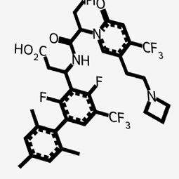 Cc1cc(C)c(-c2cc(C(F)(F)F)c(F)c(C(CC(=O)O)NC(=O)C(CC(C)C)n3cc(CCN4CCC4)c(C(F)(F)F)cc3=O)c2F)c(C)c1